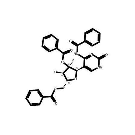 C[C@]1(OC(=O)c2ccccc2)[C@@H](c2c[nH]c(=O)nc2NC(=O)c2ccccc2)O[C@H](COC(=O)c2ccccc2)[C@H]1F